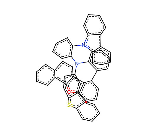 c1ccc(N(c2ccc3sc4ccccc4c3c2)c2ccccc2-n2c3ccccc3c3ccccc32)c(-c2cccc3oc4c5ccccc5ccc4c23)c1